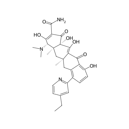 CCc1ccnc(-c2ccc(O)c3c2C[C@@]2(C)C[C@@]4(C)[C@H](N(C)C)C(O)=C(C(N)=O)C(=O)[C@@]4(O)C(O)=C2C3=O)c1